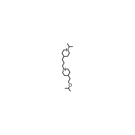 CC(C)OCCC1CCN(CCCC2CCN(C(C)C)CC2)CC1